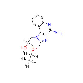 [2H]C([2H])([2H])C([2H])([2H])OCc1nc2c(N)nc3ccccc3c2n1CC(C)(C)O